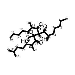 CCCCCC(C)C(=O)C(O)(C(=O)C(C)CCCCC)C(O)(CO)C(=O)C(C)CCCC(C)C